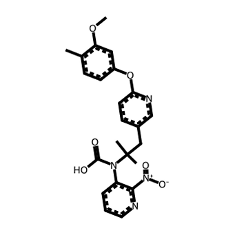 COc1cc(Oc2ccc(CC(C)(C)N(C(=O)O)c3cccnc3[N+](=O)[O-])cn2)ccc1C